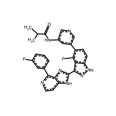 CC(C)C(=O)Nc1cncc(-c2ccc3[nH]nc(-c4nc5c(-c6cccc(F)c6)nccc5[nH]4)c3c2F)c1